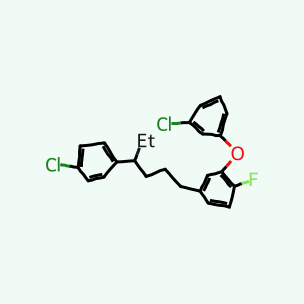 CCC(CCCc1ccc(F)c(Oc2cccc(Cl)c2)c1)c1ccc(Cl)cc1